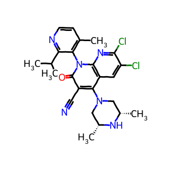 Cc1ccnc(C(C)C)c1-n1c(=O)c(C#N)c(N2C[C@@H](C)N[C@@H](C)C2)c2cc(Cl)c(Cl)nc21